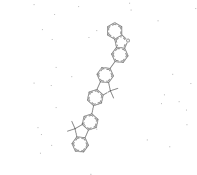 CC1(C)c2ccccc2-c2ccc(-c3ccc4c(c3)C(C)(C)c3cc(-c5ccc6oc7ccccc7c6c5)ccc3-4)cc21